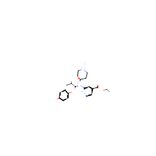 CCOC(=O)c1ccnc(N(C2CCNCC2)C(Oc2ccc(O)cc2)C(C)O)c1